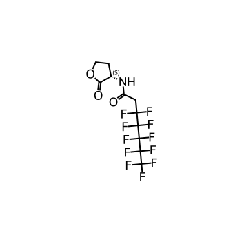 O=C(CC(F)(F)C(F)(F)C(F)(F)C(F)(F)C(F)(F)F)N[C@H]1CCOC1=O